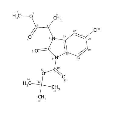 COC(=O)C(C)n1c(=O)n(C(=O)OC(C)(C)C)c2ccc(Cl)cc21